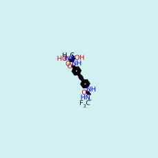 C[C@@H](O)[C@H](NC(=O)c1ccc(C#Cc2ccc(NC(=O)CNCC(F)(F)F)cc2)cc1)C(=O)NO